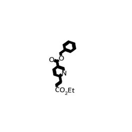 CCOC(=O)/C=C/c1ccc(C(=O)OCc2ccccc2)cn1